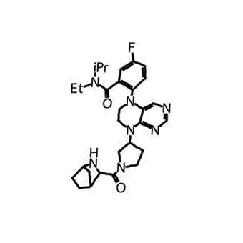 CCN(C(=O)c1cc(F)ccc1N1CCN(C2CCN(C(=O)C3NC4CCC3C4)C2)c2ncncc21)C(C)C